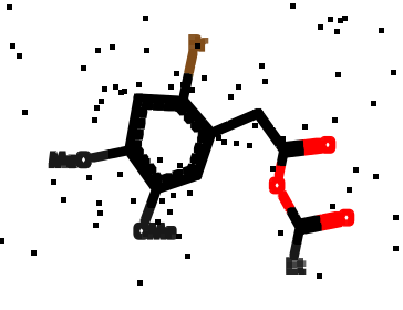 [CH2]CC(=O)OC(=O)Cc1cc(OC)c(OC)cc1Br